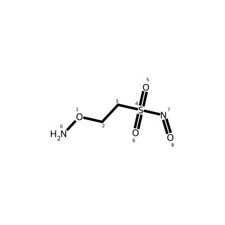 NOCCS(=O)(=O)N=O